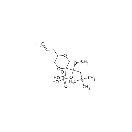 C=CCC1COC(CO)(C(C[N+](C)(C)C)(OC)OP(=O)([O-])O)CO1